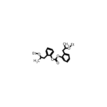 CCOC(C)Cc1ccccc1OC(=O)Oc1ccccc1CC(C)OCC